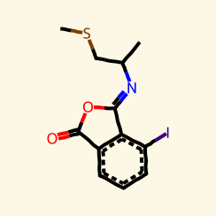 CSCC(C)/N=C1\OC(=O)c2cccc(I)c21